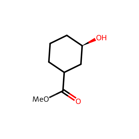 COC(=O)C1CCC[C@@H](O)C1